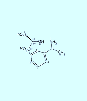 CC(N)c1ccccc1.CCCCCCCC[C@@H](O)C(=O)O